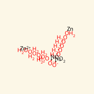 O.O.O.O.O.O.O.O.O.O.O.O.O=[N+]([O-])[O-].O=[N+]([O-])[O-].[Zn+2].[Zn]